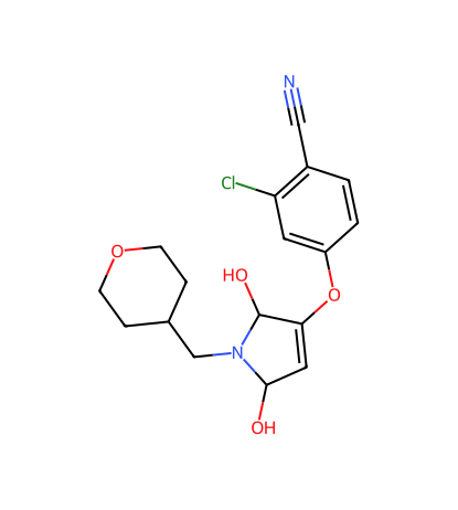 N#Cc1ccc(OC2=CC(O)N(CC3CCOCC3)C2O)cc1Cl